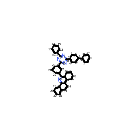 c1ccc(-c2ccc(-c3nc(-c4ccccc4)nc(-c4cccc(-c5nc6c7ccccc7ccc6c6ccccc56)c4)n3)cc2)cc1